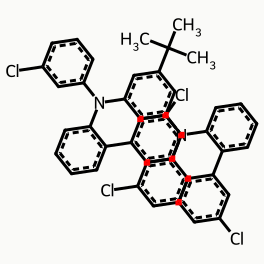 CC(C)(C)c1cc(N(c2cccc(Cl)c2)c2ccccc2-c2cccc(Cl)c2)cc(N(c2cccc(Cl)c2)c2ccccc2-c2cccc(Cl)c2)c1